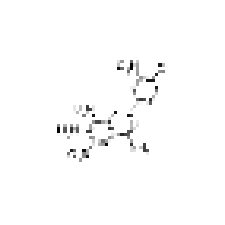 NC(=O)c1cc([N+](=O)[O-])c(N)c([N+](=O)[O-])c1COc1ccc(Cl)c([N+](=O)[O-])c1